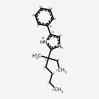 CCCCC(C)(CC)c1ncc(-c2ccccc2)[nH]1